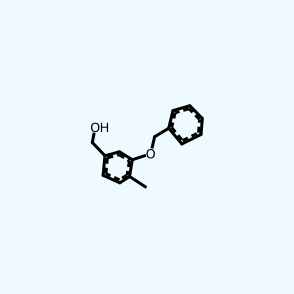 Cc1ccc(CO)cc1OCc1ccccc1